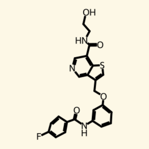 O=C(Nc1cccc(OCc2csc3c(C(=O)NCCO)cncc23)c1)c1ccc(F)cc1